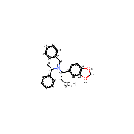 C[C@H](c1ccccc1)N(Cc1ccccc1)[C@@H](CC(=O)O)c1ccc2c(c1)OCO2